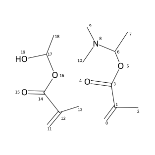 C=C(C)C(=O)OC(C)N(C)C.C=C(C)C(=O)OC(C)O